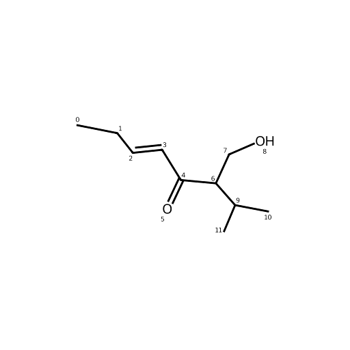 CCC=CC(=O)C(CO)C(C)C